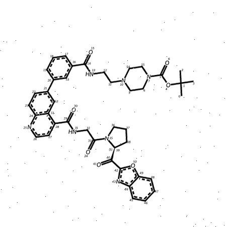 CC(C)(C)OC(=O)N1CCN(CCNC(=O)c2cccc(-c3ccc4nccc(C(=O)NCC(=O)N5CCC[C@H]5C(=O)c5nc6ccccc6o5)c4c3)c2)CC1